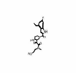 CCc1cc(F)cc2[nH]c(C(=O)N3CCc4[nH]nc(C(=O)N(C)CCO)c4C3)cc12